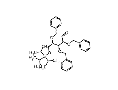 CC(C)[Si](OC[C@@H](OCc1ccccc1)[C@H](OCc1ccccc1)[C@@H](C=O)OCc1ccccc1)(C(C)C)C(C)C